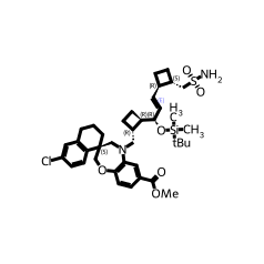 COC(=O)c1ccc2c(c1)N(C[C@@H]1CC[C@H]1[C@H](/C=C/[C@H]1CC[C@@H]1CS(N)(=O)=O)O[Si](C)(C)C(C)(C)C)C[C@@]1(CCCc3cc(Cl)ccc31)CO2